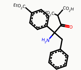 CCOC(=O)c1ccc(C(N)(Cc2ccccc2)C(=O)C(C(=O)O)C(=O)O)cc1